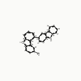 Brc1ccc2oc3cccc(-c4ccc5sc6ccccc6c5c4)c3c2c1